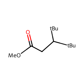 COC(=O)CC(C(C)(C)C)C(C)(C)C